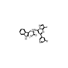 Cc1cnn2c(N[C@H](Cc3c[nH]c4ccccc34)C(N)=O)cc(-c3cncc(F)c3)nc12